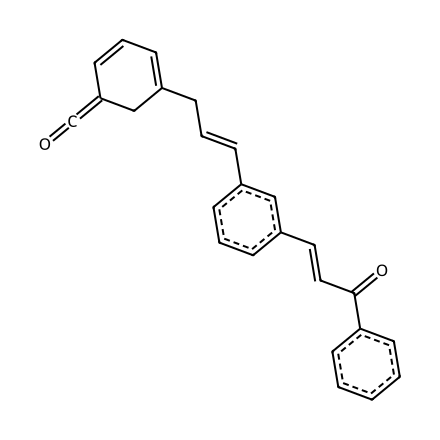 O=C=C1C=CC=C(CC=Cc2cccc(C=CC(=O)c3ccccc3)c2)C1